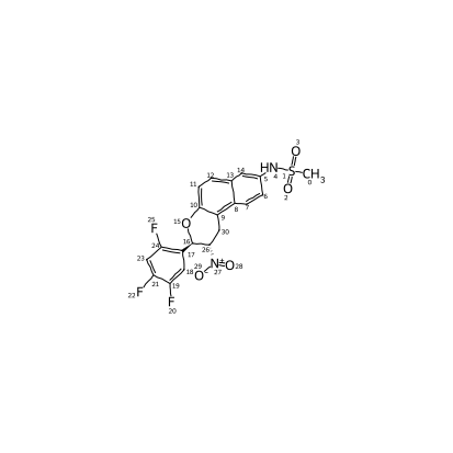 CS(=O)(=O)Nc1ccc2c3c(ccc2c1)O[C@H](c1cc(F)c(F)cc1F)[C@@H]([N+](=O)[O-])C3